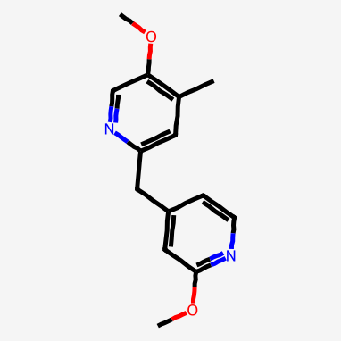 COc1cc(Cc2cc(C)c(OC)cn2)ccn1